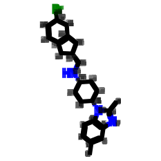 Cc1ccc2c(c1)nc(C)n2[C@H]1CC[C@@H](NC[C@H]2CC3=C(CC(Br)C=C3)C2)CC1